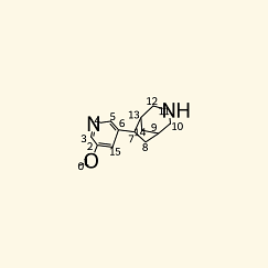 COc1cncc(C2CC3CNCC2C3)c1